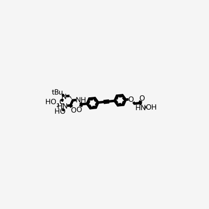 CC(C)(C)N(C[C@H](NC(=O)c1ccc(C#Cc2ccc(OCC(=O)NO)cc2)cc1)C(=O)NO)C(=O)O